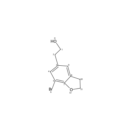 OCCc1cc(Br)c2c(c1)CCO2